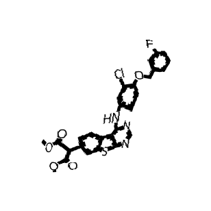 COC(=O)C(C(=O)OC)c1ccc2c(c1)sc1ncnc(Nc3ccc(OCc4cccc(F)c4)c(Cl)c3)c12